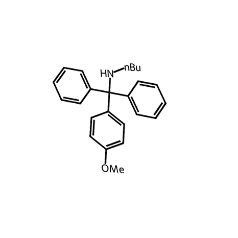 CCCCNC(c1ccccc1)(c1ccccc1)c1ccc(OC)cc1